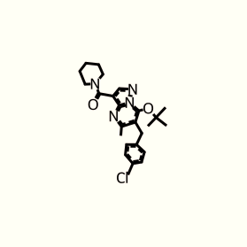 Cc1nc2c(C(=O)N3CCCCC3)cnn2c(OC(C)(C)C)c1Cc1ccc(Cl)cc1